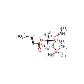 C[SiH2]O[Si](C)(O[Si](C)(C)C)C(C)(C)OC(=O)/C=C/C(=O)O